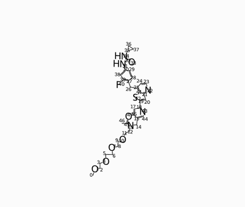 COCCOCCOCCOCCN(Cc1ccc(-c2cc3nccc(Cc4ccc(NC(=O)NC5CC5)cc4F)c3s2)nc1)C(C)=O